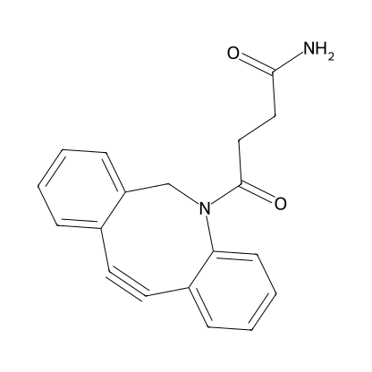 NC(=O)CCC(=O)N1Cc2ccccc2C#Cc2ccccc21